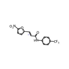 O=C(/C=C/c1ccc([N+](=O)[O-])o1)Nc1ccc(C(F)(F)F)cc1